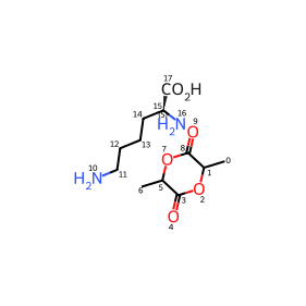 CC1OC(=O)C(C)OC1=O.NCCCC[C@H](N)C(=O)O